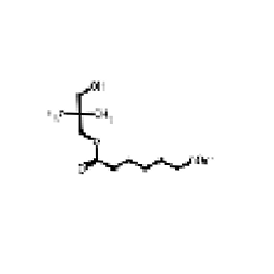 CCCCCCCCCCCCCC(=O)OCC(C)(C)CO